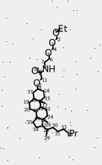 CCOCOCOCCNC(=O)COC1CCC2(C)C(CCC3C2CCC2(C)C(C(C)CCCC(C)C)CCC32)C1